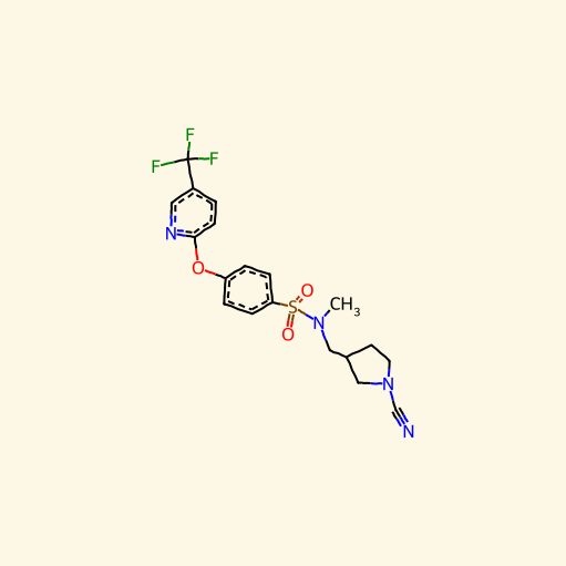 CN(CC1CCN(C#N)C1)S(=O)(=O)c1ccc(Oc2ccc(C(F)(F)F)cn2)cc1